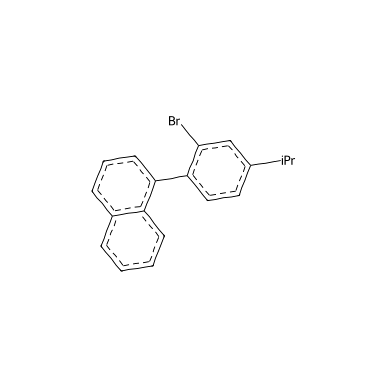 CC(C)c1ccc(-c2cccc3ccccc23)c(Br)c1